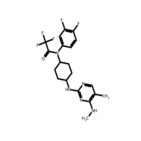 CNc1nc(NC2CCC(N(C(=O)C(F)(F)F)c3ccc(F)c(F)c3)CC2)ncc1C